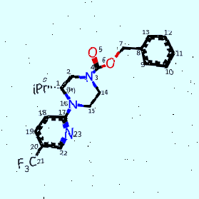 CC(C)[C@@H]1CN(C(=O)OCc2ccccc2)CCN1c1ccc(C(F)(F)F)cn1